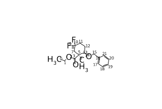 CCOC(=O)[C@@]1(C)CC(F)(F)CC[C@H]1OCc1ccccc1